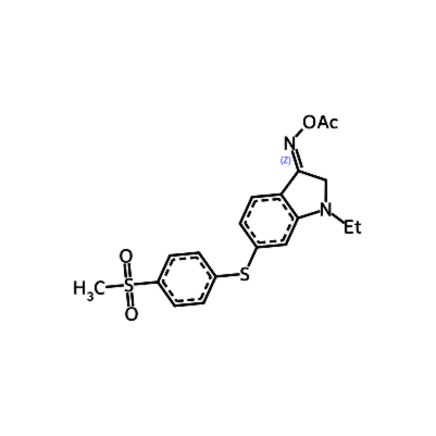 CCN1C/C(=N\OC(C)=O)c2ccc(Sc3ccc(S(C)(=O)=O)cc3)cc21